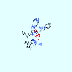 CC(C)CC(NC(=O)C(Cc1ccccc1)NC(=O)c1cnccn1)C(=O)N(C)N(C)C#N